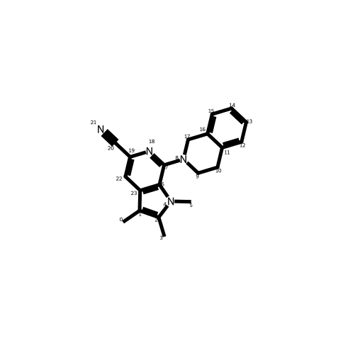 Cc1c(C)n(C)c2c(N3CCc4ccccc4C3)nc(C#N)cc12